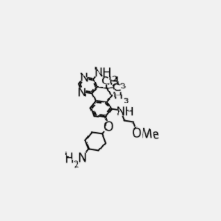 COCCNc1c(OC2CCC(N)CC2)ccc2c1CC(C)(C)c1c(N)ncnc1-2